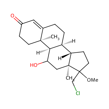 COC1(CCl)CC[C@H]2[C@@H]3CCC4=CC(=O)CC[C@]4(C)[C@@H]3C(O)C[C@@]21C